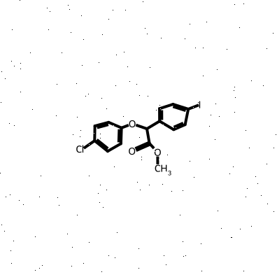 COC(=O)C(Oc1ccc(Cl)cc1)c1ccc(I)cc1